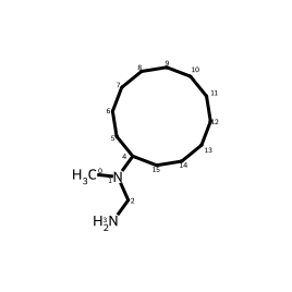 CN(CN)C1CCCCCCCCCCC1